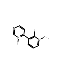 C[n+]1cccc(-c2ccnc[n+]2I)c1I